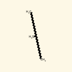 CCCCCCCCCCCCCCCCCCC([SiH3])CCCCCCCCCCCCCCCCC